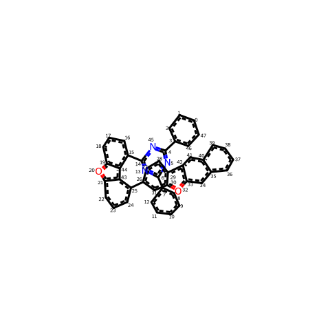 c1ccc(-c2nc(-c3ccccc3)nc(-c3cccc4oc5cccc(-c6ccc7c(c6)oc6cc8ccccc8cc67)c5c34)n2)cc1